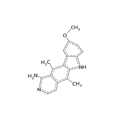 COc1ccc2[nH]c3c(C)c4ccnc(N)c4c(C)c3c2c1